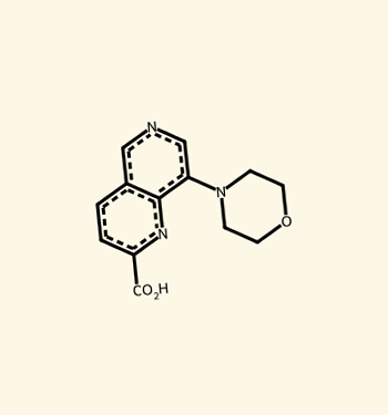 O=C(O)c1ccc2cncc(N3CCOCC3)c2n1